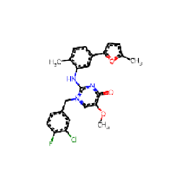 COc1cn(Cc2ccc(F)c(Cl)c2)c(Nc2cc(-c3ccc(C)o3)ccc2C)nc1=O